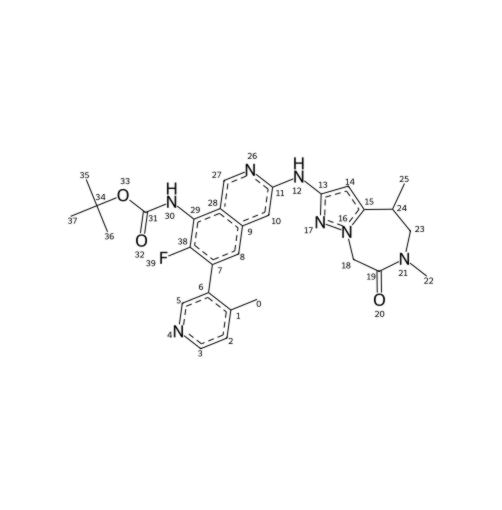 Cc1ccncc1-c1cc2cc(Nc3cc4n(n3)CC(=O)N(C)CC4C)ncc2c(NC(=O)OC(C)(C)C)c1F